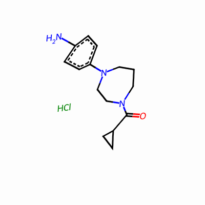 Cl.Nc1ccc(N2CCCN(C(=O)C3CC3)CC2)cc1